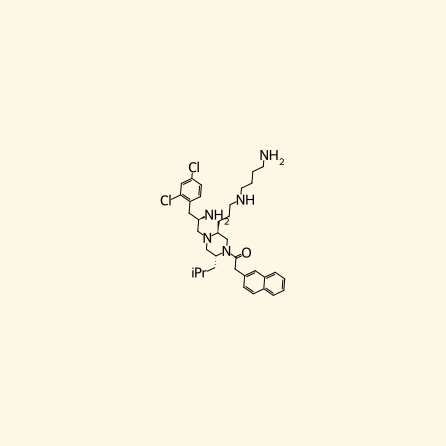 CC(C)C[C@@H]1CN(C[C@H](N)Cc2ccc(Cl)cc2Cl)[C@@H](CCCNCCCCN)CN1C(=O)Cc1ccc2ccccc2c1